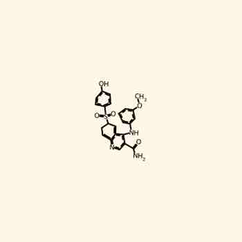 COc1cccc(Nc2c(C(N)=O)cnc3c2=CC(S(=O)(=O)c2ccc(O)cc2)CC=3)c1